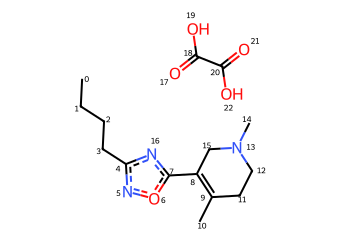 CCCCc1noc(C2=C(C)CCN(C)C2)n1.O=C(O)C(=O)O